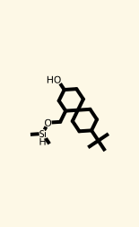 C[SiH](C)OCC1CC(O)CCC12CCC(C(C)(C)C)CC2